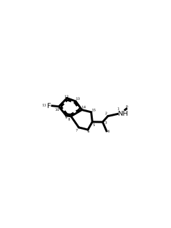 CNCC(C)C1CCc2cc(F)ccc2C1